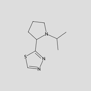 CC(C)N1CCCC1c1nncs1